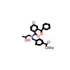 COC(=O)c1ccc(CN(CC(C)O)C(=O)c2ccc(Cl)cc2C(=O)c2ccccc2)cc1